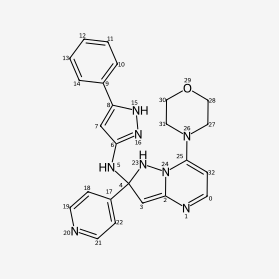 C1=NC2=CC(Nc3cc(-c4ccccc4)[nH]n3)(c3ccncc3)NN2C(N2CCOCC2)=C1